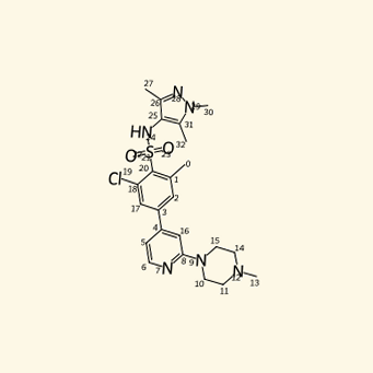 Cc1cc(-c2ccnc(N3CCN(C)CC3)c2)cc(Cl)c1S(=O)(=O)Nc1c(C)nn(C)c1C